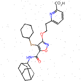 O=C(O)c1cccc(CCOc2noc(C(=O)NC3C4CC5CC(C4)CC3C5)c2SC2CCCCC2)n1